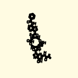 CC(C)C(=O)Nc1nc2c(ncn2[C@@H]2O[C@@H]3CO[PH](=O)O[C@H]4[C@@H](F)[C@H](n5cnc6c(NC(=O)c7ccccc7)ncnc65)O[C@@H]4CO[P@@](=O)(S)O[C@H]3[C@H]2F)c(=O)[nH]1